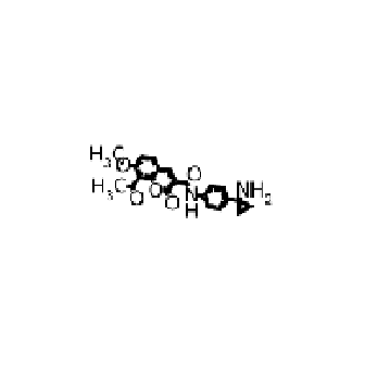 COc1ccc2cc(C(=O)Nc3ccc(C4(N)CC4)cc3)c(=O)oc2c1C(C)=O